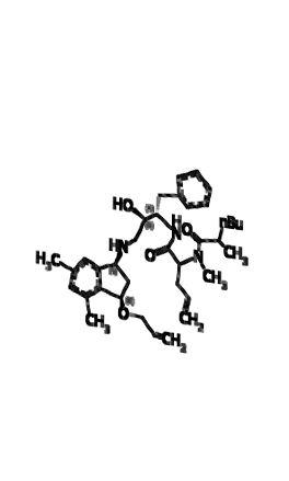 C=CCO[C@@H]1C[C@H](NC[C@@H](O)[C@H](Cc2ccccc2)NC(=O)C(CC=C)N(C)C(=O)C(C)CCCC)c2cc(C)cc(C)c21